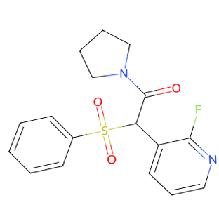 O=C(C(c1cccnc1F)S(=O)(=O)c1ccccc1)N1CCCC1